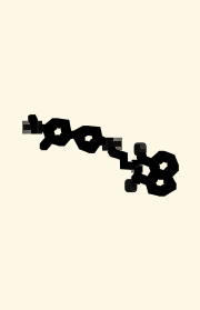 CNc1ccc(-c2ccc(NCCCN3C(=O)c4cccc5cccc(c45)C3=O)cc2)cc1C